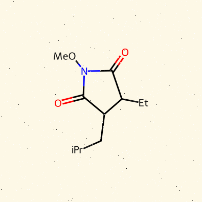 CCC1C(=O)N(OC)C(=O)C1CC(C)C